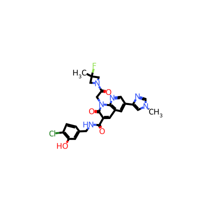 Cn1cnc(-c2cnc3c(c2)cc(C(=O)NCc2ccc(Cl)c(O)c2)c(=O)n3CC(=O)N2CC(C)(F)C2)c1